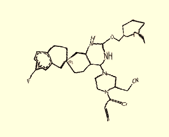 C=CC(=O)N1CCN(C2NC(OCC3CCCN3C)NC3C[C@@]4(CCc5ccc(F)cc5C4)CCC32)CC1CC#N